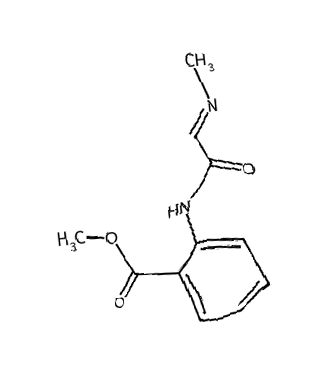 CN=CC(=O)Nc1ccccc1C(=O)OC